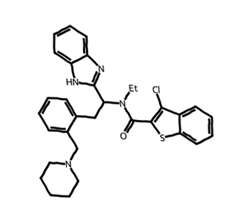 CCN(C(=O)c1sc2ccccc2c1Cl)C(Cc1ccccc1CN1CCCCC1)c1nc2ccccc2[nH]1